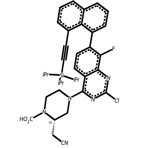 CC(C)[Si](C#Cc1cccc2cccc(-c3ccc4c(N5CCN(C(=O)O)[C@@H](CC#N)C5)nc(Cl)nc4c3F)c12)(C(C)C)C(C)C